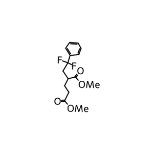 COC(=O)CCC(CC(F)(F)c1ccccc1)C(=O)OC